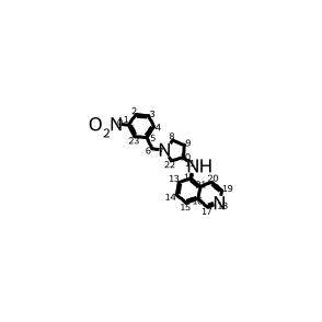 O=[N+]([O-])c1cccc(CN2CCC(Nc3cccc4cnccc34)C2)c1